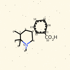 CC1CCCN(C)C1(C)C.O=C(O)c1ccccc1